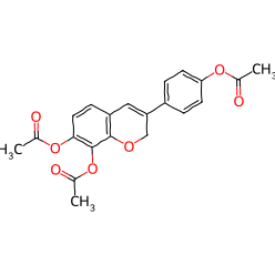 CC(=O)Oc1ccc(C2=Cc3ccc(OC(C)=O)c(OC(C)=O)c3OC2)cc1